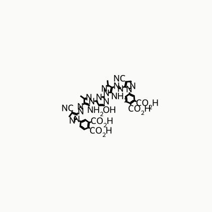 [C-]#[N+]c1cnn(-c2ccc(C(=O)O)c(C(=O)O)c2)c1N=Nc1c(C)nn(-c2cc(O)nc(-n3nc(C)c(N=Nc4c(C#N)cnn4-c4ccc(C(=O)O)c(C(=O)O)c4)c3N)n2)c1N